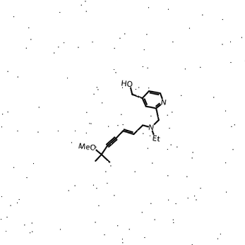 CCN(CC=CC#CC(C)(C)OC)Cc1cc(CO)ccn1